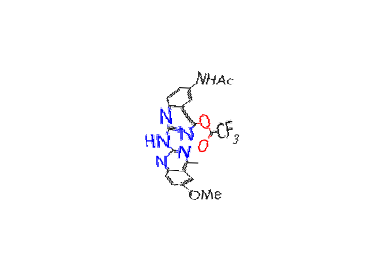 COc1ccc2nc(Nc3nc(OC(=O)C(F)(F)F)c4cc(NC(C)=O)ccc4n3)nc(C)c2c1